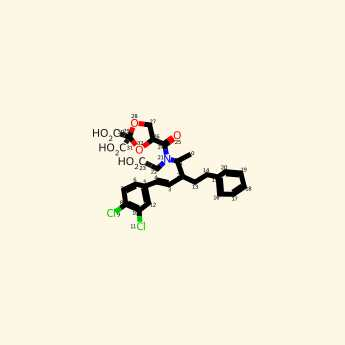 CC(C(C=Cc1ccc(Cl)c(Cl)c1)CCc1ccccc1)N(CC(=O)O)C(=O)C1COC(C(=O)O)(C(=O)O)O1